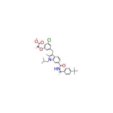 COC(=O)[C@@H](C)Oc1cc(Cl)cc(Cc2c(C)n(CC(C)C)c3cc(C(=O)N[C@@H](C)c4ccc(C(C)(C)C)cc4)ccc23)c1